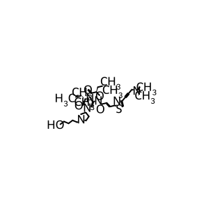 CC(C)C[C@H]1ON(C(=O)/C=C/c2nc(C#CCN(C)C)cs2)C2=CN(C3CCN(CCCCO)C3)C(=O)[C@H](CC(C)(C)C)N2C1=O